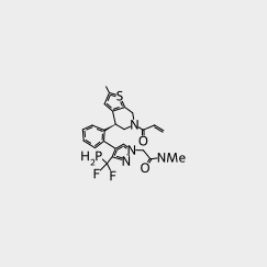 C=CC(=O)N1Cc2sc(C)cc2[C@H](c2ccccc2-c2cn(CC(=O)NC)nc2C(F)(F)P)C1